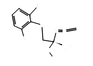 CC(C)(C)O[C@](CSc1c([N+](=O)[O-])cccc1[N+](=O)[O-])(N=C=O)C(=O)O